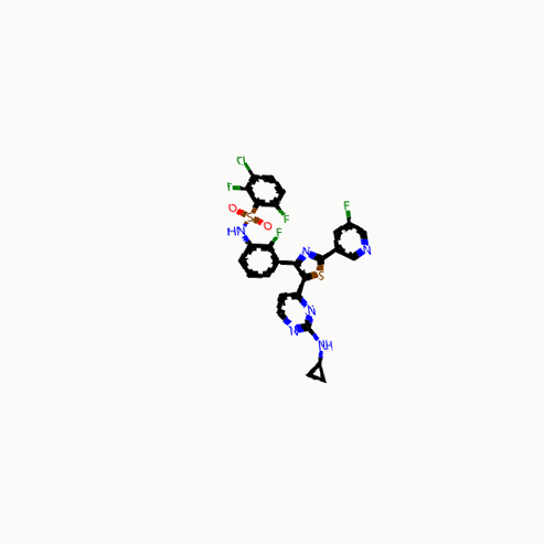 O=S(=O)(Nc1cccc(-c2nc(-c3cncc(F)c3)sc2-c2ccnc(NC3CC3)n2)c1F)c1c(F)ccc(Cl)c1F